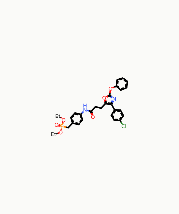 CCOP(=O)(Cc1ccc(NC(=O)CCc2oc(Oc3ccccc3)nc2-c2ccc(Cl)cc2)cc1)OCC